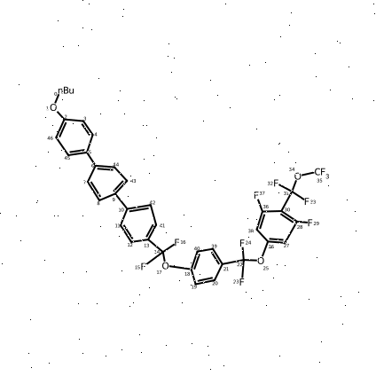 CCCCOc1ccc(-c2ccc(-c3ccc(C(F)(F)Oc4ccc(C(F)(F)Oc5cc(F)c(C(F)(F)OC(F)(F)F)c(F)c5)cc4)cc3)cc2)cc1